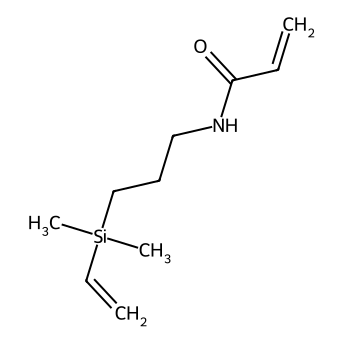 C=CC(=O)NCCC[Si](C)(C)C=C